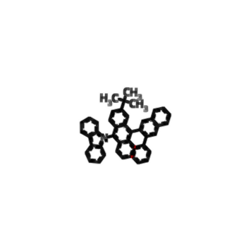 CC(C)(C)c1ccc2c(-n3c4ccccc4c4ccccc43)c3ccccc3c(-c3cc4ccccc4cc3-c3ccccc3)c2c1